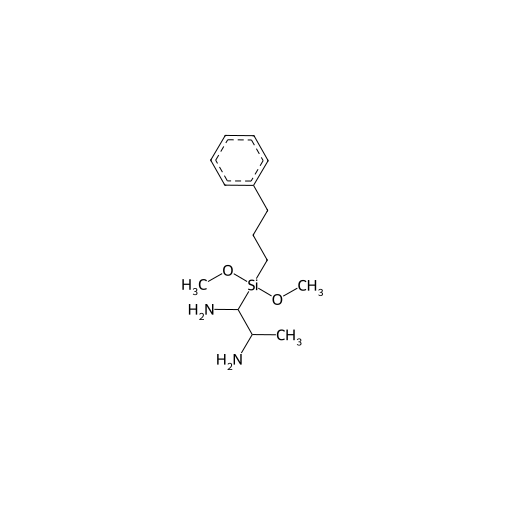 CO[Si](CCCc1ccccc1)(OC)C(N)C(C)N